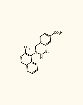 CCNN(Cc1ccc(C(=O)O)cc1)c1c(C)ccc2ccccc12